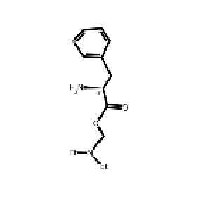 CCN(CC)COC(=O)[C@@H](N)Cc1ccccc1